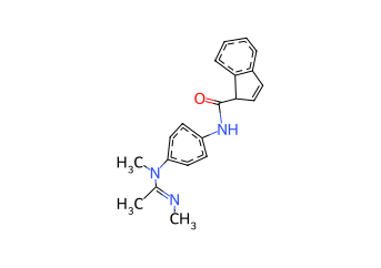 CN=C(C)N(C)c1ccc(NC(=O)C2C=Cc3ccccc32)cc1